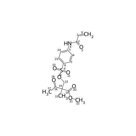 C=CC(=O)Nc1ccc(S(=O)(=O)OCC(C)(C(C)=O)C(=O)OC)cc1